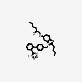 CCCCC(=O)CN=C1C=Cc2nc(CCCC)n(Cc3ccc(-c4ccccc4-c4nnn[nH]4)cc3)c2C1